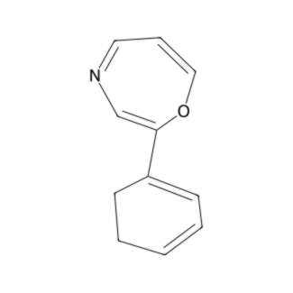 C1=CCCC(C2=CN=CC=CO2)=C1